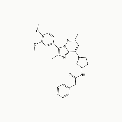 COc1ccc(-c2c(C)nc3c(N4CCC(NC(=O)Cc5ccccc5)C4)cc(C)nn23)cc1OC